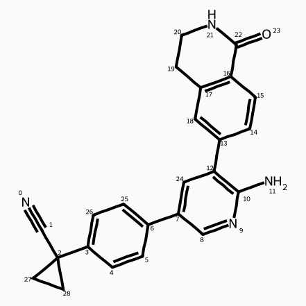 N#CC1(c2ccc(-c3cnc(N)c(-c4ccc5c(c4)CCNC5=O)c3)cc2)CC1